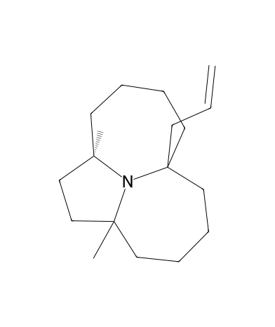 C=CCC12CCCCC3(C)CC[C@@](C)(CCCC1)N32